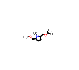 COCC1CCC(COC(C)C)N1C